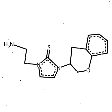 NCCn1ccn(C2COc3ccccc3C2)c1=S